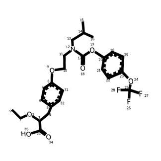 CCOC(Cc1ccc(OCCN(CC(C)C)C(=O)Oc2ccc(OC(F)(F)F)cc2)cc1)C(=O)O